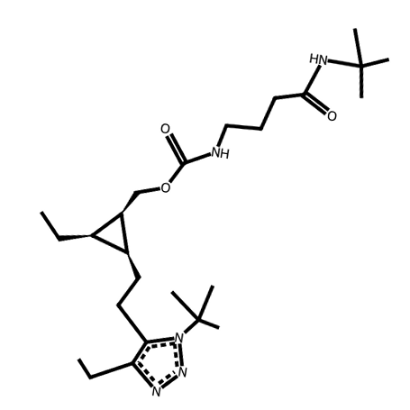 CCc1nnn(C(C)(C)C)c1CC[C@H]1[C@@H](CC)[C@H]1COC(=O)NCCCC(=O)NC(C)(C)C